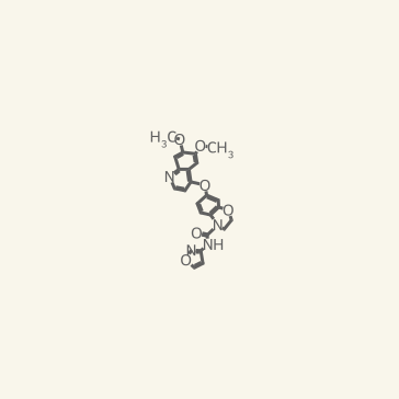 COc1cc2nccc(Oc3ccc4c(c3)OCCN4C(=O)Nc3ccon3)c2cc1OC